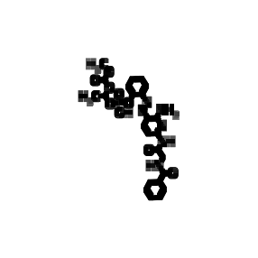 COC(=O)OC(C)OP(=O)(O)Oc1ccccc1/N=N/c1ccc(NC(=O)CNC(=O)c2ccccc2)nc1N